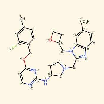 N#Cc1ccc(COc2ccnc(NC3CCN(Cc4nc5ccc(C(=O)O)cc5n4CC4CCO4)C3)n2)c(F)c1